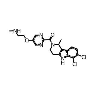 CNCCOc1cnc(C(=O)N2CCc3[nH]c4c(Cl)c(Cl)ccc4c3C2C)nc1